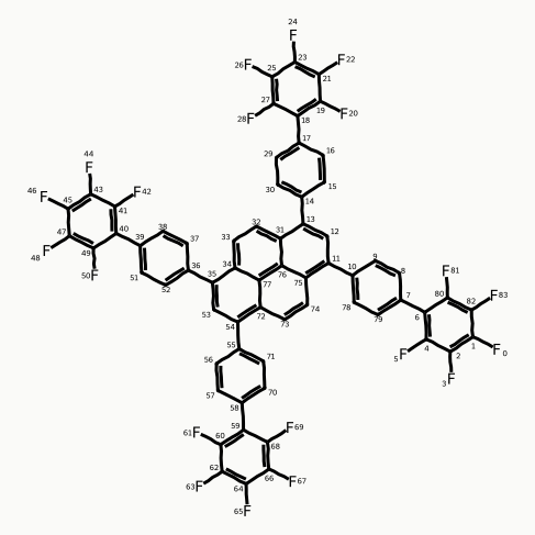 Fc1c(F)c(F)c(-c2ccc(-c3cc(-c4ccc(-c5c(F)c(F)c(F)c(F)c5F)cc4)c4ccc5c(-c6ccc(-c7c(F)c(F)c(F)c(F)c7F)cc6)cc(-c6ccc(-c7c(F)c(F)c(F)c(F)c7F)cc6)c6ccc3c4c65)cc2)c(F)c1F